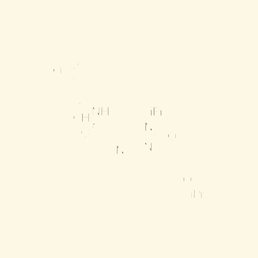 CC(C)Oc1cccc(-n2c(=O)n(C(C)C)c3cc(C(=O)NC4(C)CCS(=O)(=O)CC4)cnc32)c1